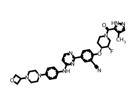 Cc1cn[nH]c1C(=O)N1CC[C@H](Oc2ccc(-c3nccc(Nc4ccc(N5CCN(C6COC6)CC5)cc4)n3)cc2C#N)[C@H](F)C1